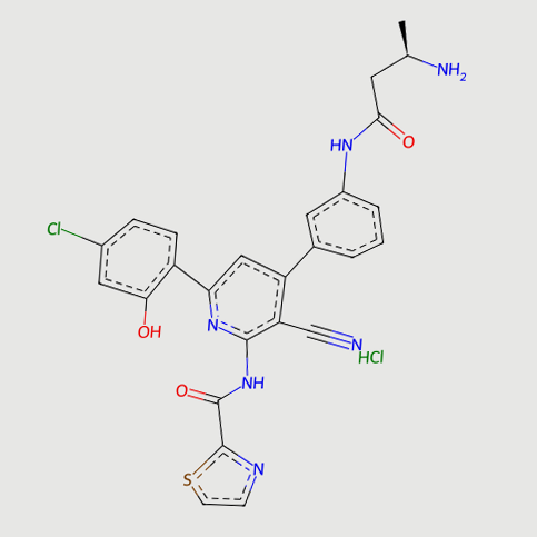 C[C@@H](N)CC(=O)Nc1cccc(-c2cc(-c3ccc(Cl)cc3O)nc(NC(=O)c3nccs3)c2C#N)c1.Cl